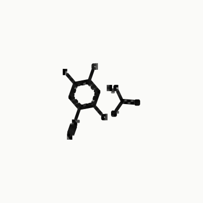 CC(=O)[O-].N#[N+]c1cc(F)c(Cl)cc1Cl